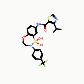 CC(C)c1ncsc1C(=O)Nc1ccc2c(c1)S(O)(O)N(c1ccc(C(F)(F)F)cc1)CCO2